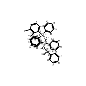 Cc1cccc([Si](O[Si](O[Si](C)(C)c2ccccc2)(c2ccccc2)c2ccccc2)(c2ccccc2)c2ccccc2)c1C